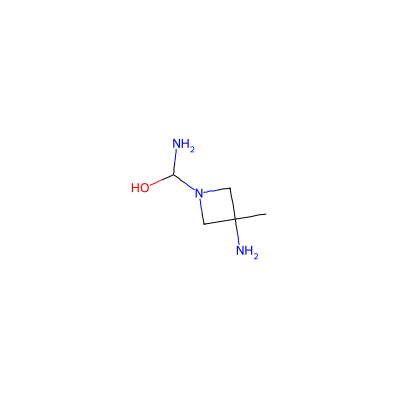 CC1(N)CN(C(N)O)C1